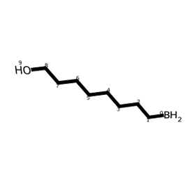 BCCCCCCCCO